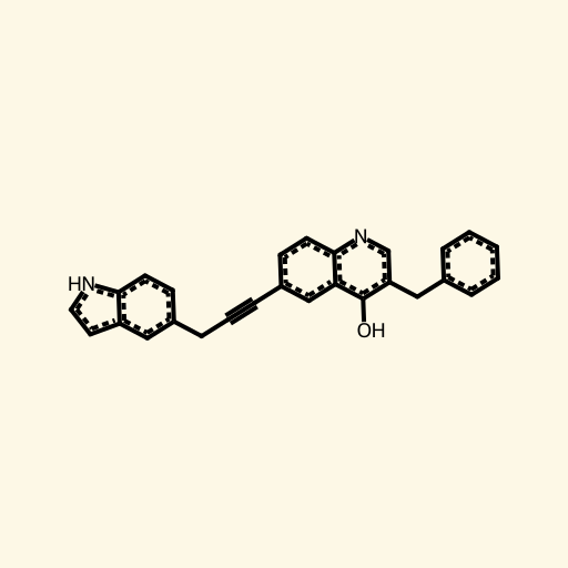 Oc1c(Cc2ccccc2)cnc2ccc(C#CCc3ccc4[nH]ccc4c3)cc12